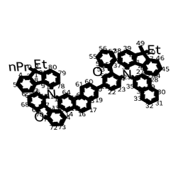 CCCC1(CC)c2ccccc2-c2c(N(c3ccc4ccc5cc(-c6ccc(N(c7ccc8ccccc8c7)c7cccc8c7-c7ccccc7C8(C)CC)c7c6oc6ccccc67)ccc5c4c3)c3cccc4oc5ccccc5c34)cccc21